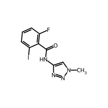 Cn1cc(NC(=O)c2c(F)cccc2I)nn1